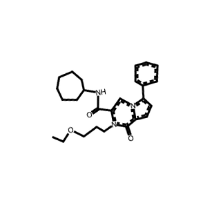 CCOCCCn1c(C(=O)NC2CCCCCC2)cn2c(-c3ccccc3)ccc2c1=O